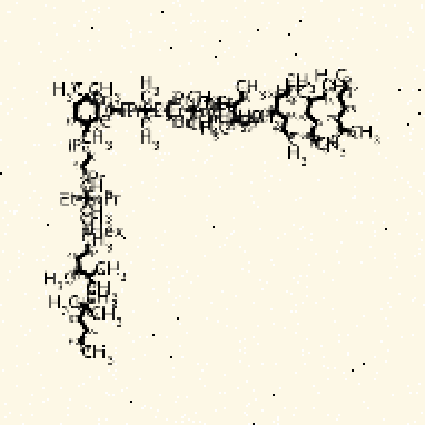 CC(C)C(C)C(C)C.CC(C)CCC(C)C.CC1CCC(C)(C)CC1.CCC(C)(C)C(C)C.CCC(C)C(C)CC.CCC(C)CC(C)C.CCCC(C)(C)CC.CCCC(C)(C)CC.CCCC(C)C(C)C.CCCC(C)CCC.CCCCC(C)(C)C.CCCCC(C)CC.CCCCCC(C)C.CCCCCCC.CCCCCCCC